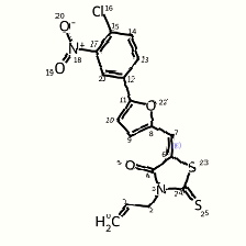 C=CCN1C(=O)/C(=C\c2ccc(-c3ccc(Cl)c([N+](=O)[O-])c3)o2)SC1=S